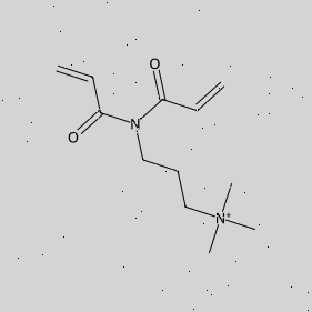 C=CC(=O)N(CCC[N+](C)(C)C)C(=O)C=C